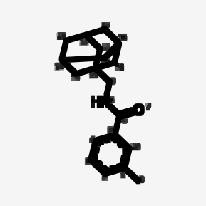 Cc1cccc(C(=O)NCC23CC4CC(CC(C4)C2)C3)c1